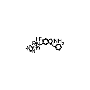 Cn1cnc(S(=O)(=O)NCc2cc3c(cc2F)C[C@@H](N)[C@H]3Cc2ccccc2)c1